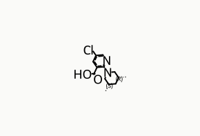 C[C@@H]1C[C@H](C)CN(c2ncc(Cl)cc2C(=O)O)C1